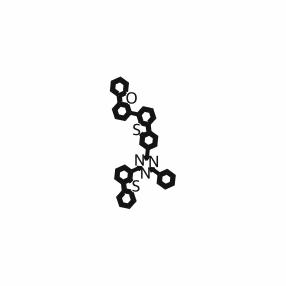 c1ccc(-c2nc(-c3ccc4c(c3)sc3c(-c5cccc6c5oc5ccccc56)cccc34)nc(-c3cccc4c3sc3ccccc34)n2)cc1